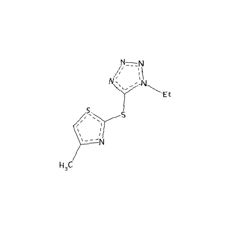 CCn1nnnc1Sc1nc(C)cs1